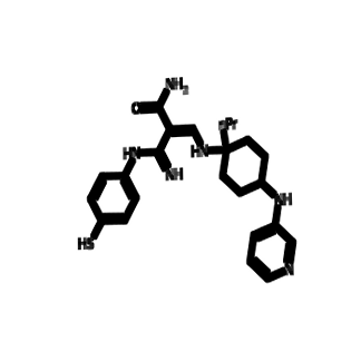 CCCC1(N/C=C(\C(=N)Nc2ccc(S)cc2)C(N)=O)CCC(Nc2cccnc2)CC1